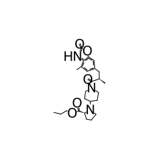 CCCOC(=O)[C@@H]1CCCN1C1CCN(C(=O)[C@H](C)Cc2cc(C)c3[nH]c(=O)oc3c2)CC1